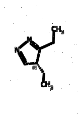 CCC1=NN=C[C@H]1CC